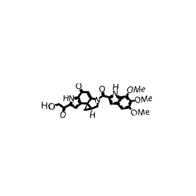 COc1cc2cc(C(=O)N3C[C@H]4C[C@@]45C3=CC(=O)c3[nH]c(C(=O)CO)cc35)[nH]c2c(OC)c1OC